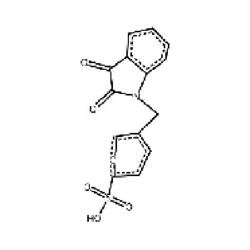 O=C1C(=O)N(Cc2ccc(S(=O)(=O)O)cc2)c2ccccc21